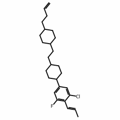 C=CCCC1CCC(CCC2CCC(c3cc(F)c(/C=C/C)c(Cl)c3)CC2)CC1